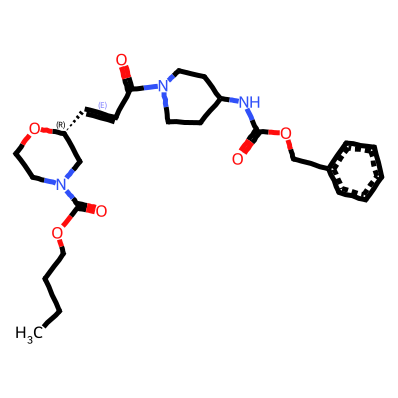 CCCCOC(=O)N1CCO[C@H](/C=C/C(=O)N2CCC(NC(=O)OCc3ccccc3)CC2)C1